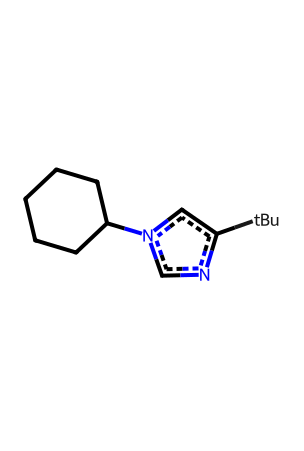 CC(C)(C)c1cn(C2CCCCC2)cn1